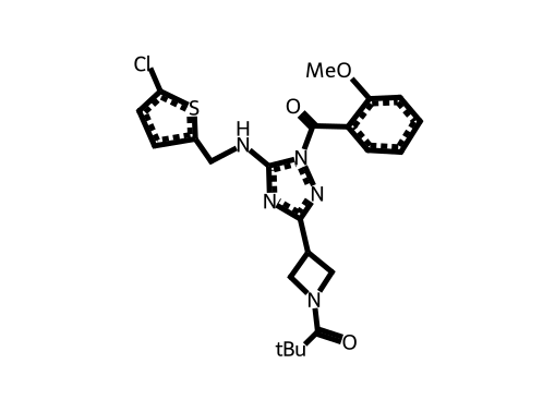 COc1ccccc1C(=O)n1nc(C2CN(C(=O)C(C)(C)C)C2)nc1NCc1ccc(Cl)s1